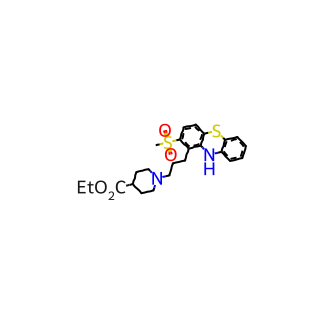 CCOC(=O)C1CCN(CCCc2c(S(C)(=O)=O)ccc3c2Nc2ccccc2S3)CC1